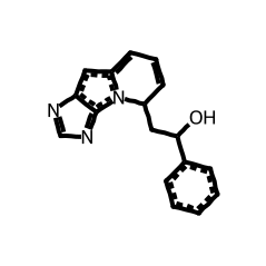 OC(CC1C=CC=c2cc3c(n21)=NC=N3)c1ccccc1